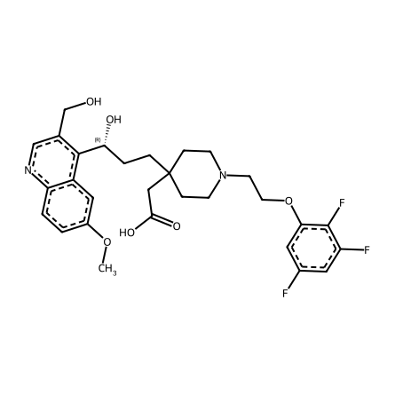 COc1ccc2ncc(CO)c([C@H](O)CCC3(CC(=O)O)CCN(CCOc4cc(F)cc(F)c4F)CC3)c2c1